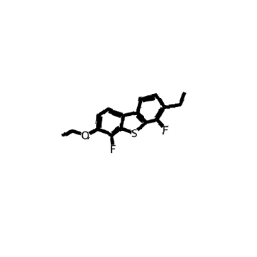 CCOc1ccc2c(sc3c(F)c(CC)ccc32)c1F